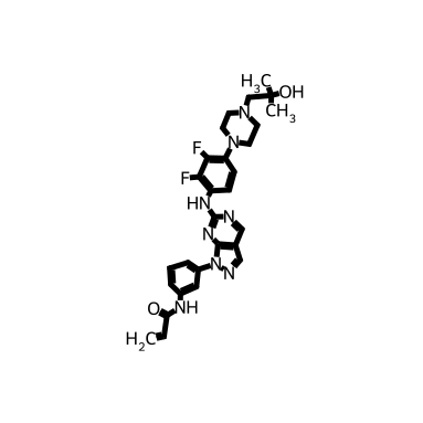 C=CC(=O)Nc1cccc(-n2ncc3cnc(Nc4ccc(N5CCN(CC(C)(C)O)CC5)c(F)c4F)nc32)c1